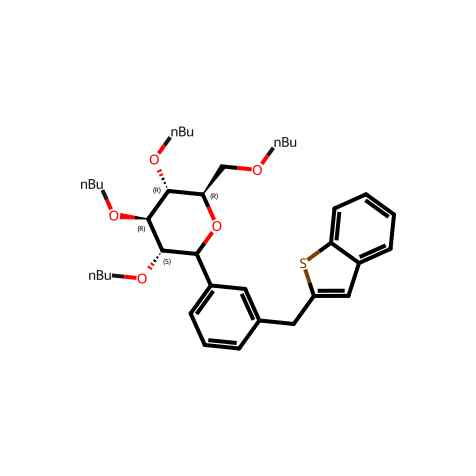 CCCCOC[C@H]1OC(c2cccc(Cc3cc4ccccc4s3)c2)[C@H](OCCCC)[C@@H](OCCCC)[C@@H]1OCCCC